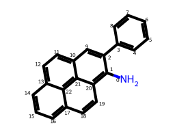 Nc1c(-c2ccccc2)cc2ccc3cccc4ccc1c2c34